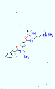 CNC(=O)[C@H](CCCCNC(=N)N)NC(=O)c1csc([C@@H]2C[C@@H](N)CN2C(=O)c2cc3cc(Cl)ccc3s2)n1